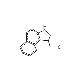 ClCC1CNc2ccc3ccccc3c21